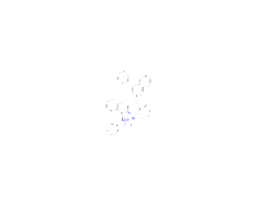 c1ccc(-c2cc3c(c4ccccc24)Sc2cccc4c2B3c2cc3ccccc3c3c(-c5ccccc5)nn-4c23)cc1